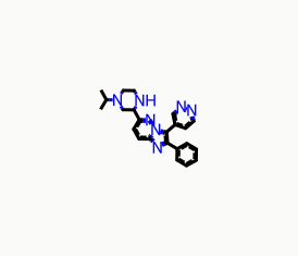 CC(C)N1CCNC(c2ccc3nc(-c4ccccc4)c(-c4ccnnc4)n3n2)C1